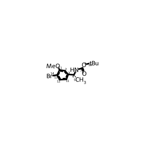 COc1cc([C@@H](C)NC(=O)OC(C)(C)C)ccc1Br